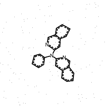 c1ccc(N(c2cc3ccccc3cn2)c2cc3ccccc3cn2)cc1